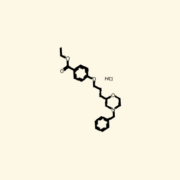 CCOC(=O)c1ccc(OCCCC2CN(Cc3ccccc3)CCO2)cc1.Cl